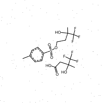 CC(O)(CC(=O)O)C(F)(F)F.Cc1ccc(S(=O)(=O)OCCC(C)(O)C(F)(F)F)cc1